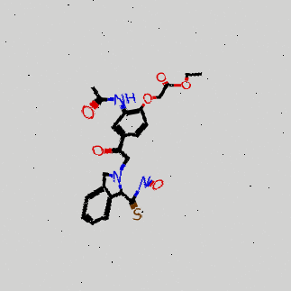 CCOC(=O)COc1ccc(C(=O)CN2Cc3ccccc3C2C(=S)N=O)cc1NC(C)=O